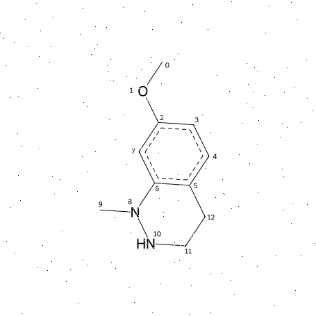 COc1ccc2c(c1)N(C)NCC2